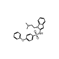 CN(C)CCn1c(NS(=O)(=O)c2ccc(Oc3ccccc3)cc2)cc2ccccc21